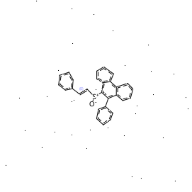 [O-][S+](/C=C/c1ccccc1)c1c(-c2ccccc2)c2ccccc2c2ccccc12